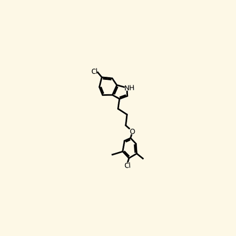 Cc1cc(OCCCc2c[nH]c3cc(Cl)ccc23)cc(C)c1Cl